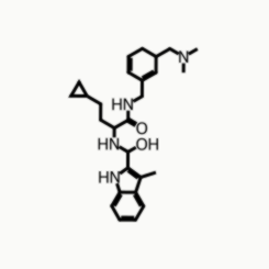 Cc1c(C(O)NC(CCC2CC2)C(=O)NCC2=CC(CN(C)C)CC=C2)[nH]c2ccccc12